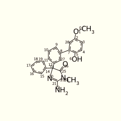 COc1ccc(O)c(-c2cccc(C3(c4ccccc4)N=C(N)N(C)C3=O)c2)c1